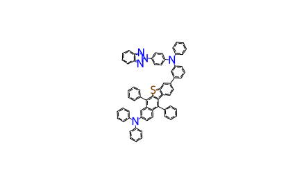 c1ccc(-c2c3cc(N(c4ccccc4)c4ccccc4)ccc3c(-c3ccccc3)c3c2sc2cc(-c4cccc(N(c5ccccc5)c5ccc(-n6nc7ccccc7n6)cc5)c4)ccc23)cc1